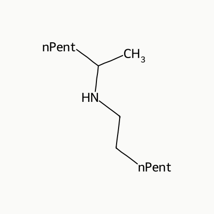 CCCCCCCNC(C)CCCCC